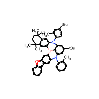 Cc1cc(C(C)(C)C)ccc1N1c2cc3c(cc2B2c4cc5oc6ccccc6c5cc4N(c4ccccc4C)c4cc(C(C)(C)C)cc1c42)C(C)(C)CCC3(C)C